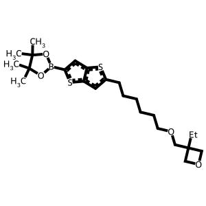 CCC1(COCCCCCCc2cc3sc(B4OC(C)(C)C(C)(C)O4)cc3s2)COC1